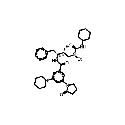 CCN(C[C@H](O)[C@H](Cc1ccccc1)NC(=O)c1cc(N2CCCCC2)cc(N2CCCC2=O)c1)C(=O)NC1CCCCC1